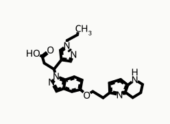 CCCn1cc(C(CC(=O)O)n2ncc3cc(OCCc4ccc5c(n4)CCCN5)ccc32)cn1